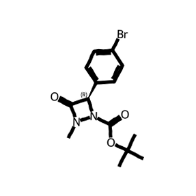 CN1C(=O)[C@@H](c2ccc(Br)cc2)N1C(=O)OC(C)(C)C